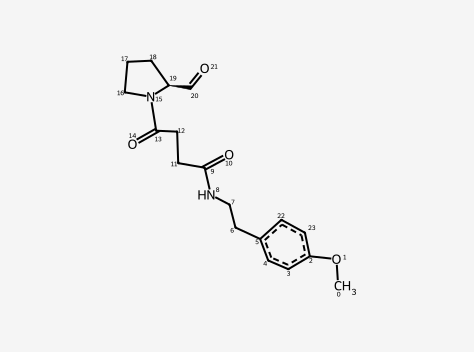 COc1ccc(CCNC(=O)CCC(=O)N2CCC[C@H]2C=O)cc1